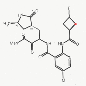 CNC(=O)C(=O)C(C[C@@H]1C[C@@H](C)NC1=O)NC(=O)c1cc(Cl)cnc1NC(=O)C12CC(F)(C1)C2